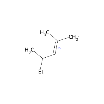 [CH2]/C(C)=C/C(C)CC